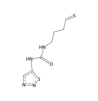 O=C(NCCCC=S)Nc1cnns1